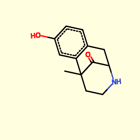 CC12CCNC(Cc3ccc(O)cc31)C2=O